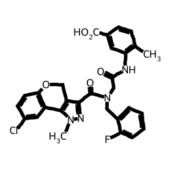 Cc1ccc(C(=O)O)cc1NC(=O)CN(Cc1ccccc1F)C(=O)c1nn(C)c2c1COc1ccc(Cl)cc1-2